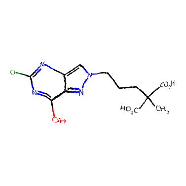 CC(CCCn1cc2nc(Cl)nc(O)c2n1)(C(=O)O)C(=O)O